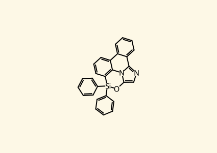 c1ccc([Si]2(c3ccccc3)Oc3cnc4c5ccccc5c5cccc2c5n34)cc1